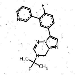 CC(C)(F)N1C=N[N+]2C(c3ccc(F)c(-c4cccnc4)c3)=CN=C2C1